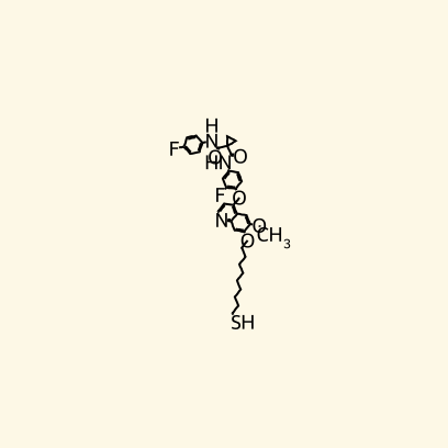 COc1cc2c(Oc3ccc(NC(=O)C4(C(=O)Nc5ccc(F)cc5)CC4)cc3F)ccnc2cc1OCCCCCCCCCS